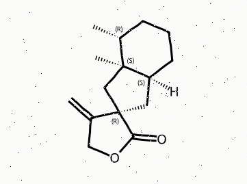 C=C1COC(=O)[C@@]12C[C@@H]1CCC[C@@H](C)[C@]1(C)C2